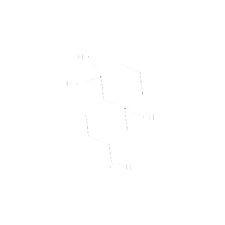 CC1(C)CCCC2(C)CC(C(=O)O)CCC12